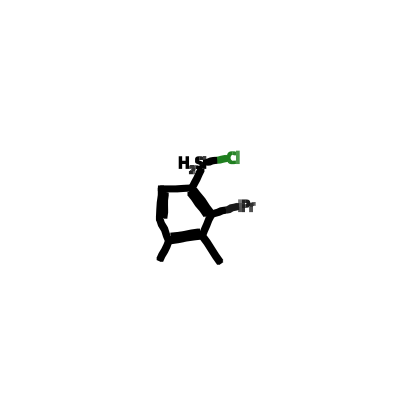 Cc1ccc([SiH2]Cl)c(C(C)C)c1C